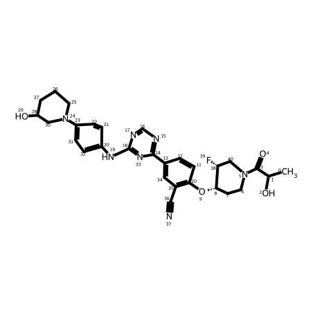 CC(O)C(=O)N1CC[C@H](Oc2ccc(-c3ncnc(Nc4ccc(N5CCCC(O)C5)cc4)n3)cc2C#N)[C@H](F)C1